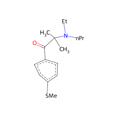 CCCN(CC)C(C)(C)C(=O)c1ccc(SC)cc1